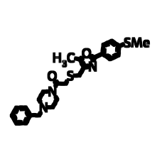 CSc1ccc(-c2nc(CSCC(=O)N3CCN(Cc4ccccc4)CC3)c(C)o2)cc1